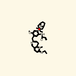 C=CC(=O)Nc1cc(CC2=CCc3c(cc/c(=N/CC)n3C)C=N2)c(OC)cc1N1CC2CCC(C1)N2C(C)CC